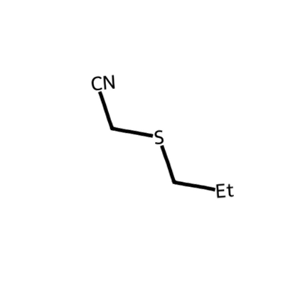 CCCSCC#N